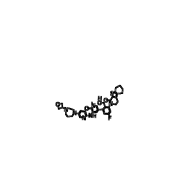 Cn1cc(-c2cc(F)cc(N3CCc4c(sc5c4CCCC5)C3=O)c2CO)cc(Nc2ccc(N3CCCN(C4COC4)CC3)cn2)c1=O